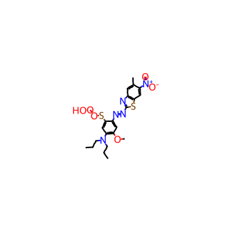 CCCN(CCC)c1cc(SOOO)c(/N=N/c2nc3cc(C)c([N+](=O)[O-])cc3s2)cc1OC